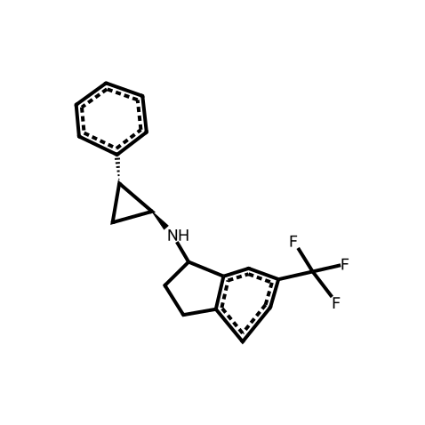 FC(F)(F)c1ccc2c(c1)C(N[C@H]1C[C@@H]1c1ccccc1)CC2